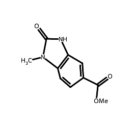 COC(=O)c1ccc2c(c1)[nH]c(=O)n2C